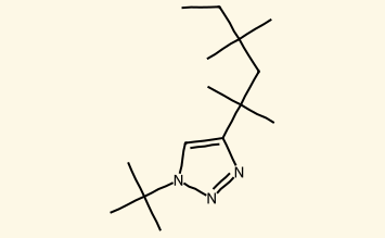 CCC(C)(C)CC(C)(C)c1cn(C(C)(C)C)nn1